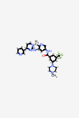 Cc1ncc(NC(=O)c2cc(N3CCN(C)CC3)cc(C(F)(F)F)c2)cc1Nc1nccc(-c2cccnc2)n1